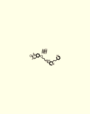 CN1Cc2cc(OCCCNCc3ccnc(CCc4cccnc4)c3)ccc2N(C)C1=O.Cl.Cl.Cl